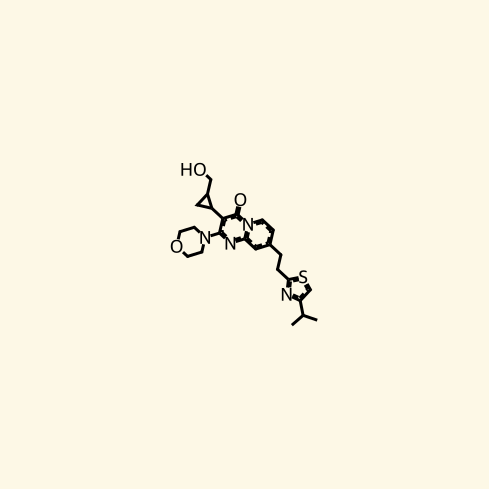 CC(C)c1csc(CCc2ccn3c(=O)c(C4CC4CO)c(N4CCOCC4)nc3c2)n1